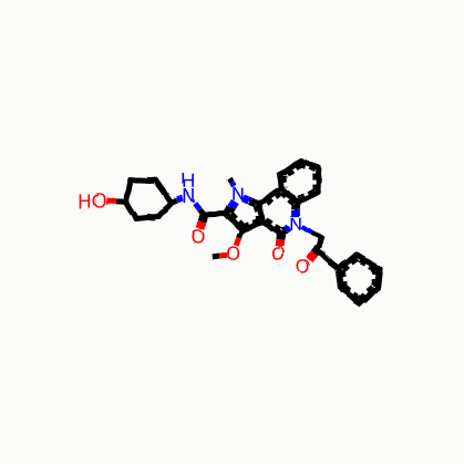 COc1c(C(=O)NC2CCC(O)CC2)n(C)c2c1c(=O)n(CC(=O)c1ccccc1)c1ccccc21